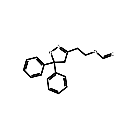 O=COCCC1=NOC(c2ccccc2)(c2ccccc2)C1